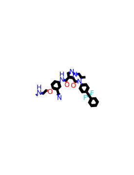 CNCCOc1ccc(NC(=O)c2cnn3c2C(=O)N(c2ccc(C(F)(F)c4ccccc4)cc2)C(C)C3)cc1C#N